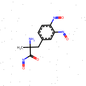 CC(N)(Cc1ccc(N=O)c(N=O)c1)C(=O)N=O